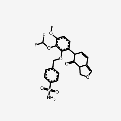 COc1ccc(C2C=CC3=COCC3C2=O)c(OCc2ccc(S(N)(=O)=O)cc2)c1OC(F)F